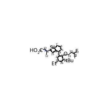 CCc1cc(-c2cccc3sc(/C(C)=C/C(=O)O)cc23)c(OCCC(F)F)c(C(C)(C)C)c1